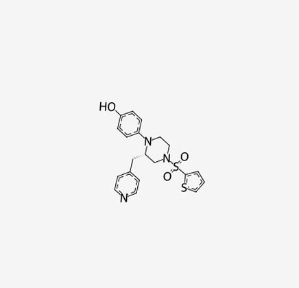 O=S(=O)(c1cccs1)N1CCN(c2ccc(O)cc2)[C@@H](Cc2ccncc2)C1